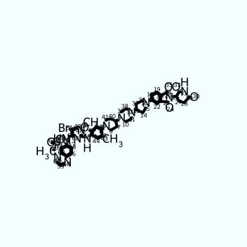 COc1cc(N2CCC(N3CCN(C4CCN(c5ccc6c(c5)C(=O)N(C5CCC(=O)NC5=O)C6=O)CC4)CC3)CC2)c(C)cc1Nc1ncc(Br)c(Nc2ccc3nccnc3c2P(C)(C)=O)n1